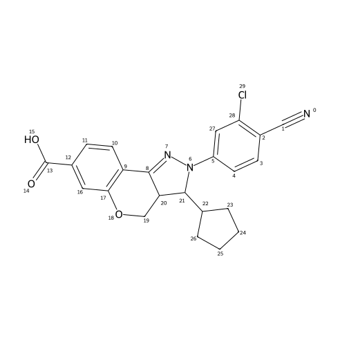 N#Cc1ccc(N2N=C3c4ccc(C(=O)O)cc4OCC3C2C2CCCC2)cc1Cl